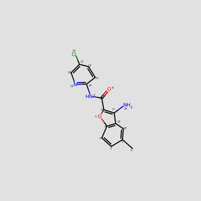 Cc1ccc2oc(C(=O)Nc3ccc(Cl)cn3)c(N)c2c1